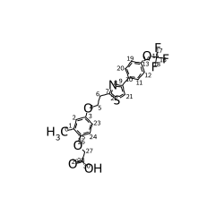 Cc1cc(OCCc2nc(-c3ccc(OC(F)(F)F)cc3)cs2)ccc1OCC(=O)O